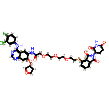 O=C1CCC(N2C(=O)c3cccc(SCCOCCOCCOCC(=O)Nc4cc5c(Nc6ccc(F)c(Cl)c6)ncnc5cc4O[C@H]4CCOC4)c3C2=O)C(=O)N1